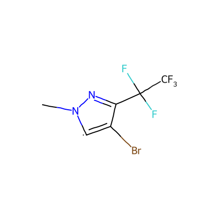 Cn1[c]c(Br)c(C(F)(F)C(F)(F)F)n1